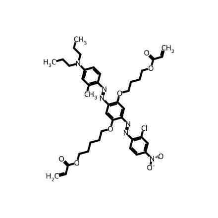 C=CC(=O)OCCCCCOc1cc(/N=N/c2ccc(N(CCC)CCC)cc2C)c(OCCCCOC(=O)C=C)cc1/N=N/c1ccc([N+](=O)[O-])cc1Cl